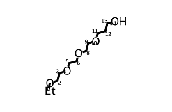 CCOCCOCCOCCOCCCO